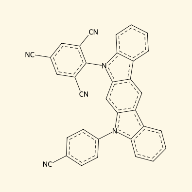 N#Cc1ccc(-n2c3ccccc3c3cc4c5ccccc5n(-c5c(C#N)cc(C#N)cc5C#N)c4cc32)cc1